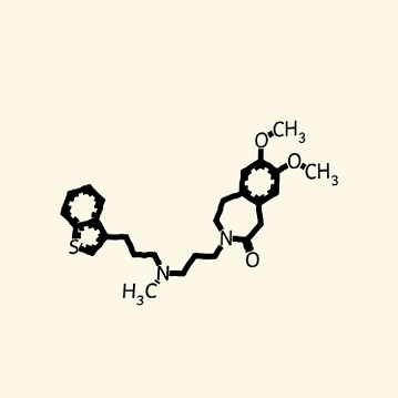 COc1cc2c(cc1OC)CC(=O)N(CCCN(C)CCCc1csc3ccccc13)CC2